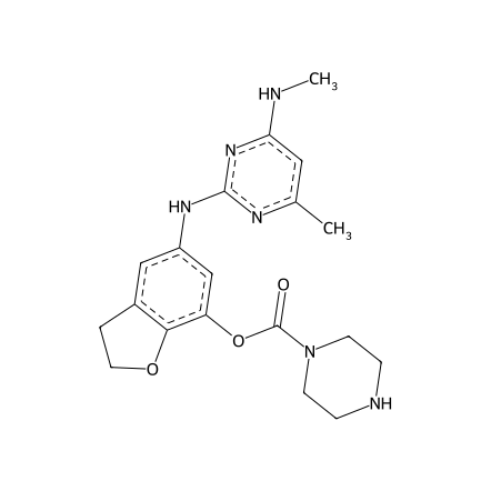 CNc1cc(C)nc(Nc2cc3c(c(OC(=O)N4CCNCC4)c2)OCC3)n1